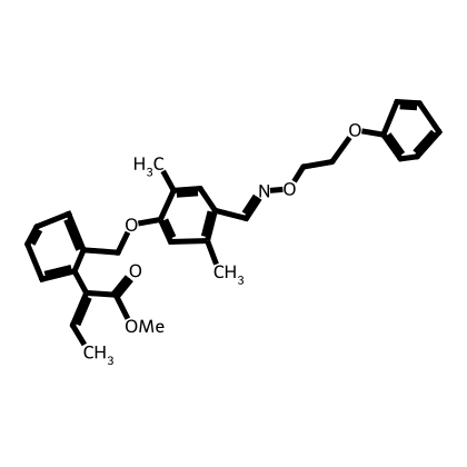 CC=C(C(=O)OC)c1ccccc1COc1cc(C)c(C=NOCCOc2ccccc2)cc1C